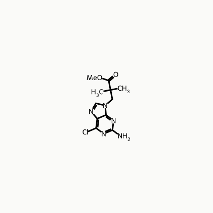 COC(=O)C(C)(C)Cn1cnc2c(Cl)nc(N)nc21